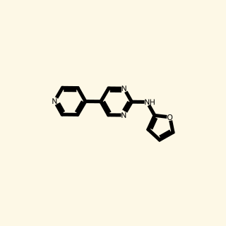 c1coc(Nc2ncc(-c3ccncc3)cn2)c1